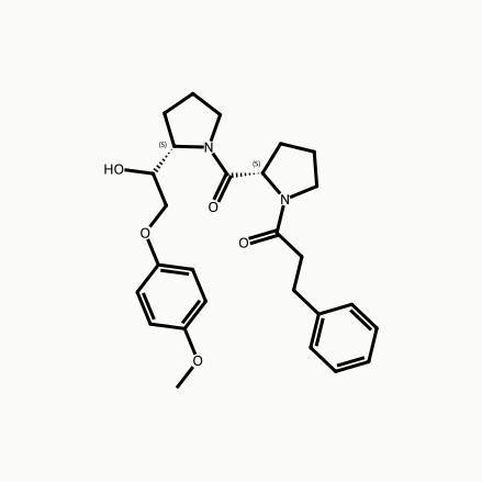 COc1ccc(OCC(O)[C@@H]2CCCN2C(=O)[C@@H]2CCCN2C(=O)CCc2ccccc2)cc1